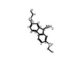 CCOc1ccc2c(c1)C(N)c1cc(OCC)ccc1-2